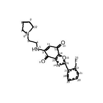 O=C1C(NCCN2CCCC2)=CC(=O)c2oc(-c3ccccc3F)nc21